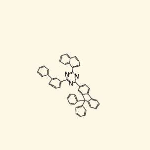 c1ccc(-c2cccc(-c3nc(-c4ccc5c(c4)C(c4ccccc4)(c4ccccc4)c4ccccc4-5)nc(-c4cccc5ccccc45)n3)c2)cc1